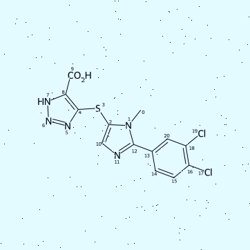 Cn1c(Sc2nn[nH]c2C(=O)O)cnc1-c1ccc(Cl)c(Cl)c1